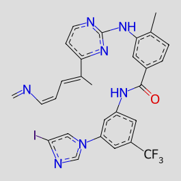 C=N/C=C\C=C(/C)c1ccnc(Nc2cc(C(=O)Nc3cc(-n4cnc(I)c4)cc(C(F)(F)F)c3)ccc2C)n1